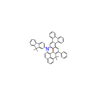 CC1(C)c2ccccc2-c2ccc(N(c3ccc4c5ccccc5c5ccccc5c4c3)c3ccc4cccc5c4c3-c3cccc(-c4ccccc4)c3C5(C)C)cc21